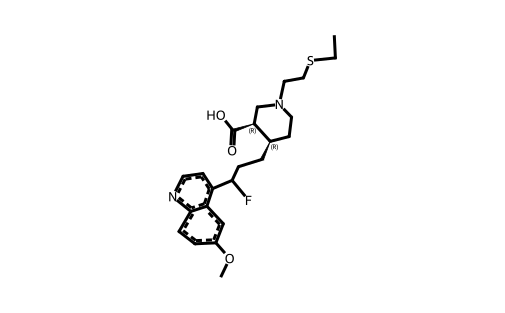 CCSCCN1CC[C@@H](CCC(F)c2ccnc3ccc(OC)cc23)[C@@H](C(=O)O)C1